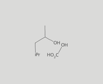 CC(C)CC(C)O.O=C(O)O